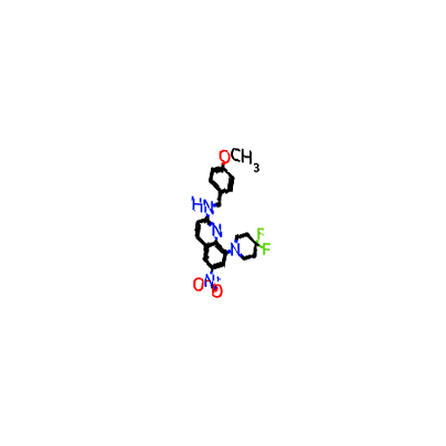 COc1ccc(CNc2ccc3cc([N+](=O)[O-])cc(N4CCC(F)(F)CC4)c3n2)cc1